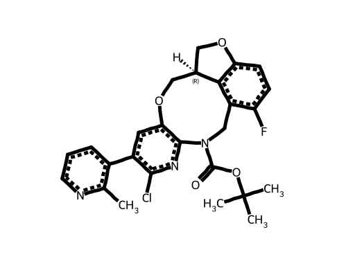 Cc1ncccc1-c1cc2c(nc1Cl)N(C(=O)OC(C)(C)C)Cc1c(F)ccc3c1[C@@H](CO2)CO3